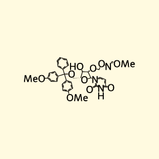 COC=NOCO[C@@H]1[C@H](O)[C@@H](COC(c2ccccc2)(c2ccc(OC)cc2)c2ccc(OC)cc2)O[C@H]1n1ccc(=O)[nH]c1=O